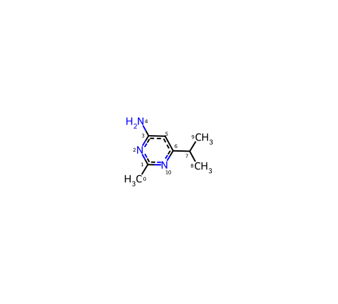 Cc1nc(N)cc(C(C)C)n1